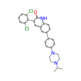 CC(C)N1CCN(c2ccc(-c3ccc4[nH]c(=O)c(-c5c(Cl)cccc5Cl)cc4c3)cc2)CC1